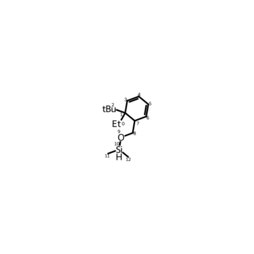 [CH2]CC1(C(C)(C)C)C=CC=CC1CO[SiH](C)C